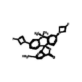 C[Si]1(C)c2cc(N3CC(F)C3)ccc2C2(OC(=O)c3ccc(C(=O)O)cc32)c2ccc(N3CC(F)C3)cc21